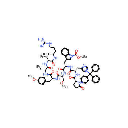 CC(C)C[C@H](NC(=O)[C@@H](CC(C)C)NC(=O)[C@H](Cc1ccc(OC(C)(C)C)cc1)NC(=O)[C@H](COC(C)(C)C)NC(=O)[C@H](Cc1cn(C(=O)OC(C)(C)C)c2ccccc12)NC(=O)[C@H](Cc1cn(C(c2ccccc2)(c2ccccc2)c2ccccc2)cn1)NC(=O)[C@@H]1CCC(=O)N1)C(=O)N[C@@H](CCCNC(=N)N)C(=O)O